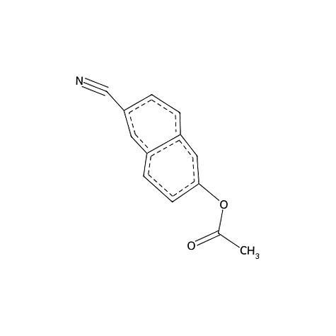 CC(=O)Oc1ccc2cc(C#N)ccc2c1